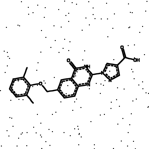 Cc1cccc(C)c1OCc1ccc2nc(-n3cc(C(=O)O)cn3)[nH]c(=O)c2c1